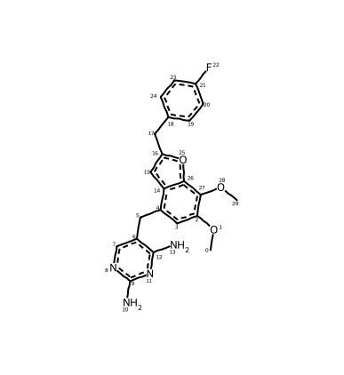 COc1cc(Cc2cnc(N)nc2N)c2cc(Cc3ccc(F)cc3)oc2c1OC